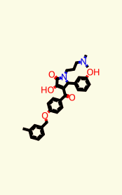 Cc1cccc(COc2ccc(C(=O)C3=C(O)C(=O)N(CCCN(C)C)C3c3cccc(O)c3)cc2)c1